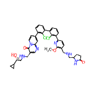 COc1nc(-c2cccc(-c3cccc(-c4ccn5c(=O)c(CNC[C@@H](O)C6CC6)cnc5c4)c3Cl)c2Cl)ccc1CNCC1CCC(=O)N1